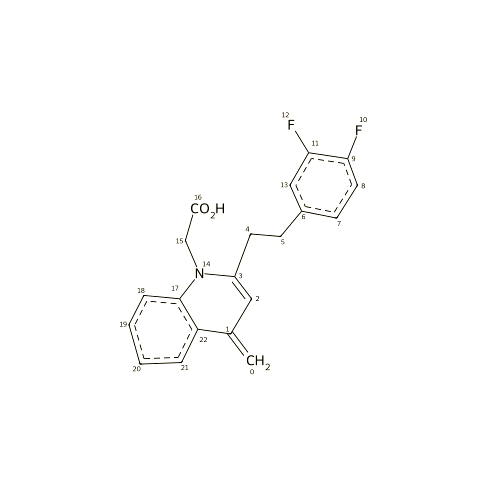 C=C1C=C(CCc2ccc(F)c(F)c2)N(CC(=O)O)c2ccccc21